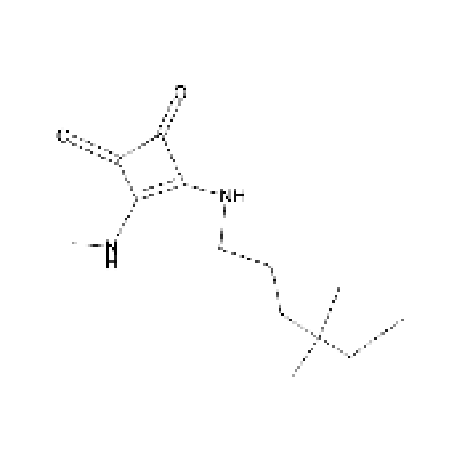 CCC(C)(C)CCCNc1c(NC)c(=O)c1=O